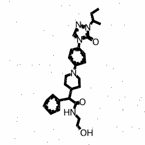 CCC(C)n1ncn(-c2ccc(N3CCC(C(C(=O)NCCO)c4ccccc4)CC3)cc2)c1=O